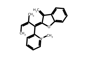 C=c1/c(=C(\C(C)=C/C)c2cccc[n+]2C)oc2ccccc12